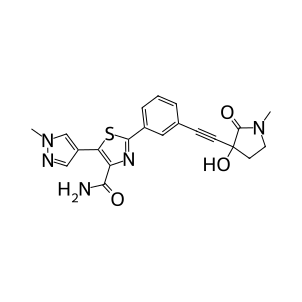 CN1CCC(O)(C#Cc2cccc(-c3nc(C(N)=O)c(-c4cnn(C)c4)s3)c2)C1=O